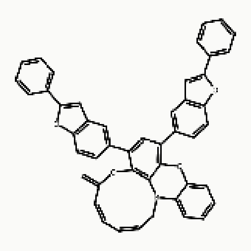 C=C1/C=C\C=C/CB2c3ccccc3Oc3c(-c4ccc5oc(-c6ccccc6)cc5c4)cc(-c4ccc5oc(-c6ccccc6)cc5c4)c(c32)O1